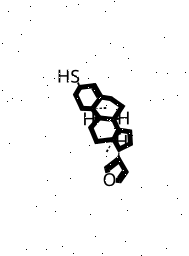 C[C@]12CC[C@H]3[C@@H](CCC4=C[C@@H](S)CC[C@@]43C)[C@@H]1CC[C@@H]2c1ccoc1